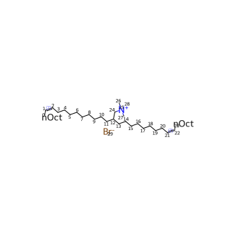 CCCCCCCC/C=C\CCCCCCCCCC(CCCCCCCC/C=C\CCCCCCCC)C[N+](C)(C)C.[Br-]